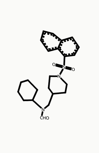 O=CN(CC1CCN(S(=O)(=O)c2cccc3ccccc23)CC1)C1CCCCC1